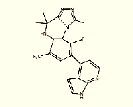 Cc1nnc2n1-c1c(F)c(-c3ccnc4[nH]ccc34)cc(C(F)(F)F)c1NC2(C)C